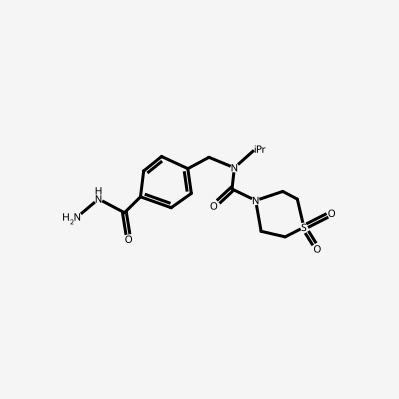 CC(C)N(Cc1ccc(C(=O)NN)cc1)C(=O)N1CCS(=O)(=O)CC1